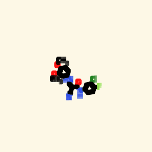 COc1ccc(NC=C(C#N)C(=O)Nc2ccc(F)c(Cl)c2)cc1OC